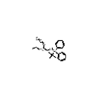 CCC[C@@H](CO[Si](c1ccccc1)(c1ccccc1)C(C)(C)C)N=C=S